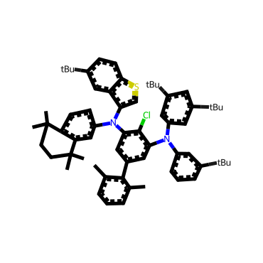 Cc1cccc(C)c1-c1cc(N(c2cccc(C(C)(C)C)c2)c2cc(C(C)(C)C)cc(C(C)(C)C)c2)c(Cl)c(N(c2ccc3c(c2)C(C)(C)CCC3(C)C)c2csc3ccc(C(C)(C)C)cc23)c1